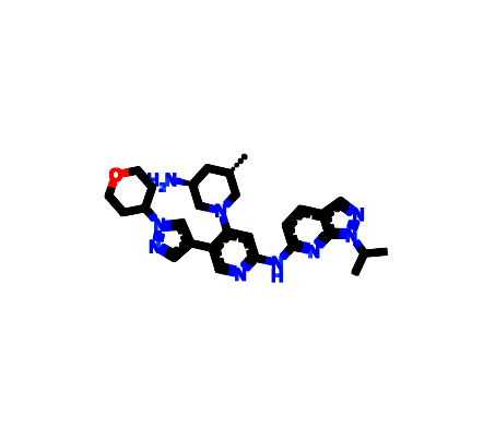 CC(C)n1ncc2ccc(Nc3cc(N4C[C@@H](C)C[C@H](N)C4)c(-c4cnn(C5CCOCC5)c4)cn3)nc21